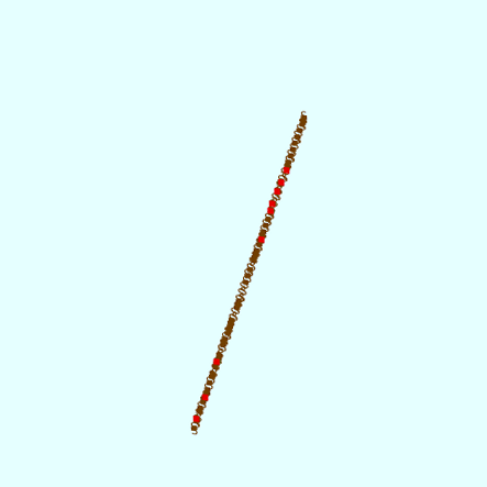 S=S=S=S=S=S=S=S=S=S=S=S=S=S=S=S=S=S=S=S=S=S=S=S=S=S=S=S=S=S=S=S=S=S=S=S=S=S=S=S=S=S=S=S=S=S=S=S=S=S=S=S=S=S=S=S=S=S=S=S=S=S=S=S=S=S=S=S=S=S=S=S=S=S=S=S=S=S=S=S=S=S=S=S=S=S=S=S=S=S=S=S=S=S=S=S=S=S=S=S